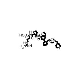 N=C(N)NCCC[C@H](NC(=O)c1sccc1NS(=O)(=O)c1cc(-c2ccccc2CN2CCN(Cc3ccncc3)CC2)cc2c1OCC2)C(=O)O